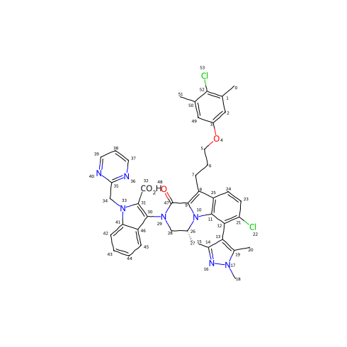 Cc1cc(OCCCc2c3n(c4c(-c5c(C)nn(C)c5C)c(Cl)ccc24)[C@H](C)CN(c2c(C(=O)O)n(Cc4ncccn4)c4ccccc24)C3=O)cc(C)c1Cl